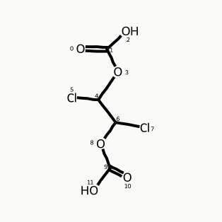 O=C(O)OC(Cl)C(Cl)OC(=O)O